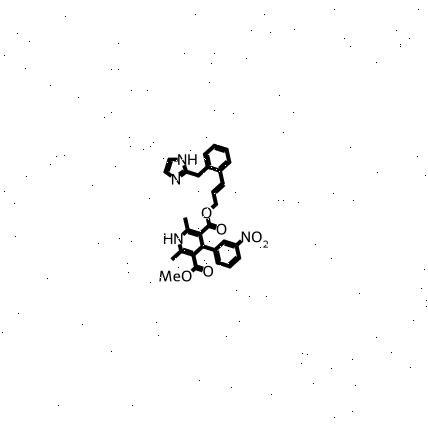 COC(=O)C1=C(C)NC(C)=C(C(=O)OCC=Cc2ccccc2Cc2ncc[nH]2)C1c1cccc([N+](=O)[O-])c1